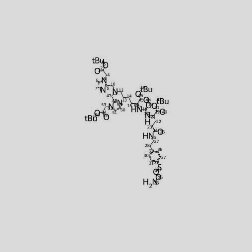 CC(C)(C)OC(=O)Cn1ccnc1CN(CCCC[C@H](NC(=O)N[C@@H](CCC(=O)NCCc1ccc(SOON)cc1)C(=O)OC(C)(C)C)C(=O)OC(C)(C)C)Cc1nccn1CC(=O)OC(C)(C)C